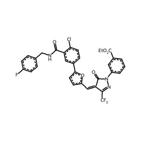 CCOC(=O)c1cccc(N2N=C(C(F)(F)F)C(=Cc3ccc(-c4ccc(Cl)c(C(=O)NCc5ccc(F)cc5)c4)o3)C2=O)c1